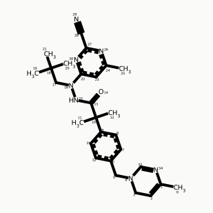 CC1=CCN(Cc2ccc(C(C)(C)C(=O)NN(CC(C)(C)C)c3cc(C)nc(C#N)n3)cc2)C=N1